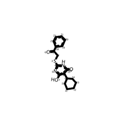 O=C(CSc1nc(O)c(C2CCCCC2)c(=O)[nH]1)c1ccccc1